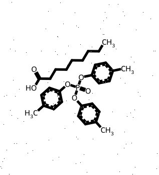 CCCCCCCCC(=O)O.Cc1ccc(OP(=O)(Oc2ccc(C)cc2)Oc2ccc(C)cc2)cc1